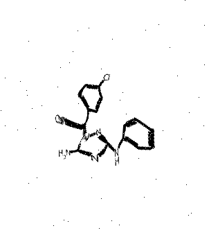 Nc1nc(Nc2ccccc2)nn1C(=O)c1ccc(Cl)cc1